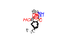 CC(C)(C)NS(=O)(=O)c1ccc(C(F)(F)F)cc1B(O)O